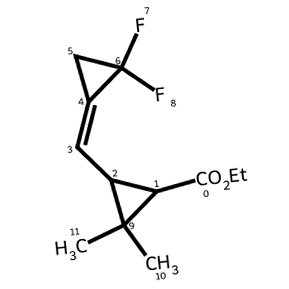 CCOC(=O)C1C(C=C2CC2(F)F)C1(C)C